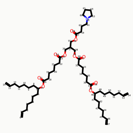 C=CCCCCCC(CCCCCC=C)OC(=O)CCCCCC(=O)OCC(COC(=O)CCCCCC(=O)OC(CCCCCC=C)CCCCCC=C)COC(=O)CCCN1CCCC1